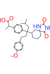 COc1ccc(CCC(CC(C)C)(c2ccc(C(C)C(=O)O)cc2)C2CCCC3(C2)NC(=O)NC3=O)cc1